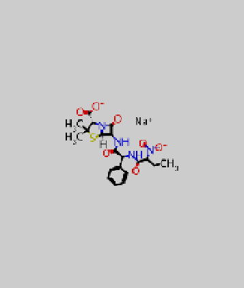 CCC(C(=O)NC(C(=O)N[C@@H]1C(=O)N2[C@@H]1SC(C)(C)[C@@H]2C(=O)[O-])c1ccccc1)[N+](=O)[O-].[Na+]